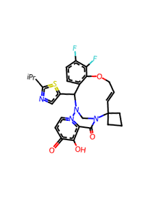 CC(C)c1ncc(C2c3ccc(F)c(F)c3OC/C=C/C3(CCC3)N3CN2n2ccc(=O)c(O)c2C3=O)s1